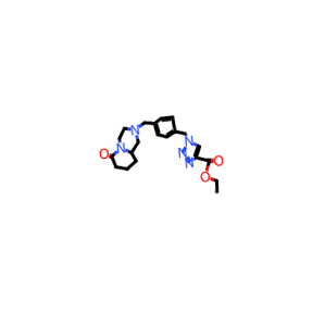 CCOC(=O)c1cn(Cc2ccc(CN3CCN4C(=O)CCCC4C3)cc2)nn1